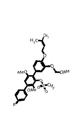 COCOc1cc(-c2c(OC)cc(-c3ccc(F)cc3)c(OC)c2OS(C)(=O)=O)ccc1OCC=C(C)C